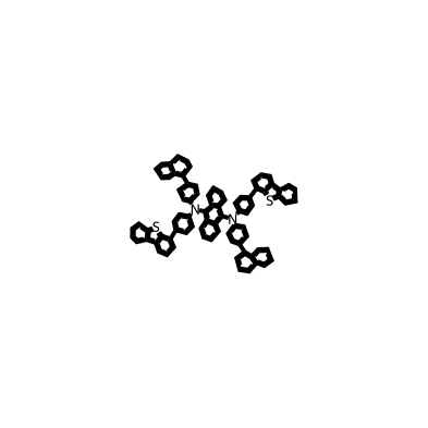 c1ccc2c(-c3ccc(N(c4ccc(-c5cccc6c5sc5ccccc56)cc4)c4c5ccccc5c(N(c5ccc(-c6cccc7ccccc67)cc5)c5ccc(-c6cccc7c6sc6ccccc67)cc5)c5ccccc45)cc3)cccc2c1